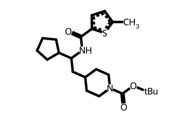 Cc1ccc(C(=O)NC(CC2CCN(C(=O)OC(C)(C)C)CC2)C2CCCC2)s1